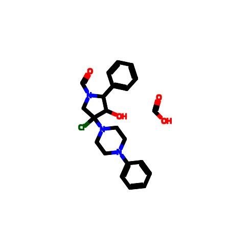 O=CN1CC(Cl)(N2CCN(c3ccccc3)CC2)C(O)C1c1ccccc1.O=CO